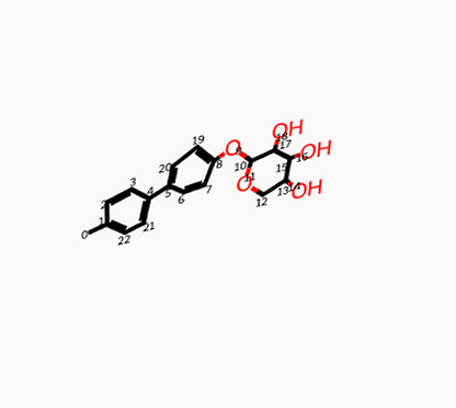 Cc1ccc(-c2ccc(OC3OCC(O)C(O)C3O)cc2)cc1